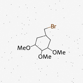 COC1CC(CBr)CC(OC)C1OC